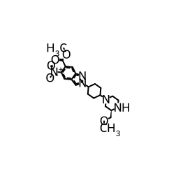 COC[C@H]1CN(C2CCC(n3cc4cc([N+](=O)[O-])c(C(=O)OC)cc4n3)CC2)CCN1